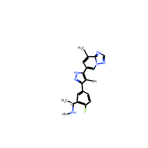 CCCN[C@@H](C)c1cc(-c2n[nH]c(-c3cc(C)c4ncnn4c3)c2C(C)C)ccc1F